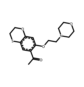 CC(=O)c1cc2c(cc1OCCN1CCOCC1)OCCS2